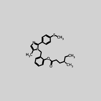 CC[C@@H](C)CCC(=O)Oc1ccccc1Cn1c(C)cnc1-c1ccc(SC)cc1